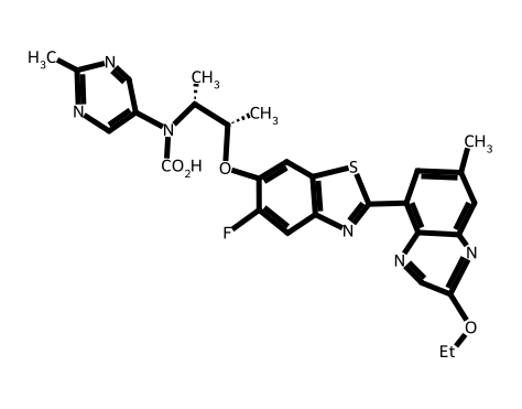 CCOc1cnc2c(-c3nc4cc(F)c(O[C@@H](C)[C@@H](C)N(C(=O)O)c5cnc(C)nc5)cc4s3)cc(C)cc2n1